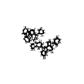 C1=CC(c2ccccc2)(c2ccccc2)c2nc(-n3c4ccccc4c4cc(-n5c6ccccc6c6ccc7c(ccn7-c7ccccc7)c65)ccc43)nc(-c3ccccc3)c21